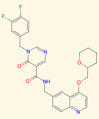 O=C(NCc1ccc2nccc(OCC3CCCCO3)c2c1)c1cncn(Cc2ccc(F)c(F)c2)c1=O